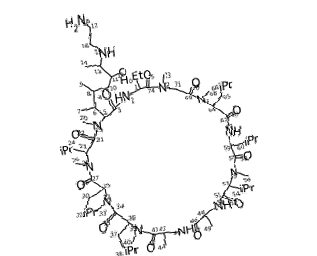 CCC1NC(=O)C(C(C)C(C)CC(O)C(C)NCCN)N(C)C(=O)C(C(C)C)N(C)C(=O)C(CC(C)C)N(C)C(=O)C(CC(C)C)N(C)C(=O)C(C)NC(=O)C(C)NC(=O)C(C(C)C)N(C)C(=O)C(C(C)C)NC(=O)C(CC(C)C)N(C)C(=O)CN(C)C1=O